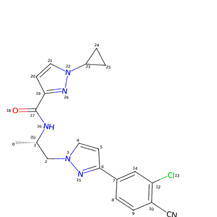 C[C@@H](Cn1ccc(-c2ccc(C#N)c(Cl)c2)n1)NC(=O)c1ccn(C2CC2)n1